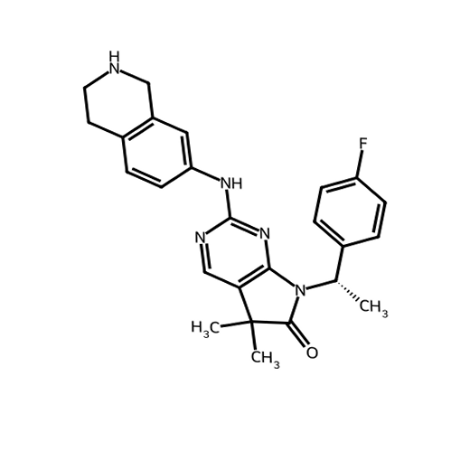 C[C@@H](c1ccc(F)cc1)N1C(=O)C(C)(C)c2cnc(Nc3ccc4c(c3)CNCC4)nc21